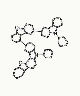 c1ccc(-n2c3ccccc3c3cc(-c4ccc5oc6cccc(-c7ccc8c(c7)c7c9oc%10ccccc%10c9ccc7n8-c7ccccc7)c6c5c4)ccc32)cc1